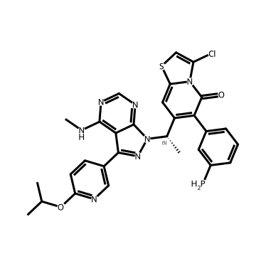 CNc1ncnc2c1c(-c1ccc(OC(C)C)nc1)nn2[C@@H](C)c1cc2scc(Cl)n2c(=O)c1-c1cccc(P)c1